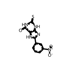 O=c1[nH]c(=S)[nH]c2nc(-c3cccc([N+](=O)[O-])c3)[nH]c12